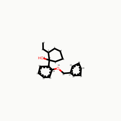 CCC1CCCCC1(O)c1ccccc1OCc1ccccc1